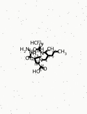 CCCC(CN1C[C@H](C(=O)NN)C[C@@H]1C(=O)O)C(C)NC(C)=O.Cl